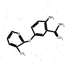 C=C(N)c1cc(Oc2ncccc2C)ccc1N